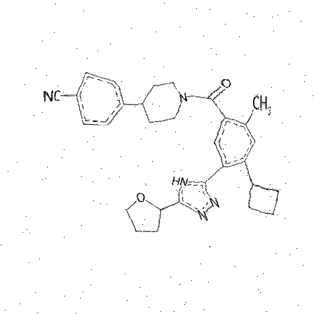 Cc1cc(C2CCC2)c(-c2nnc(C3CCCO3)[nH]2)cc1C(=O)N1CCC(c2ccc(C#N)cc2)CC1